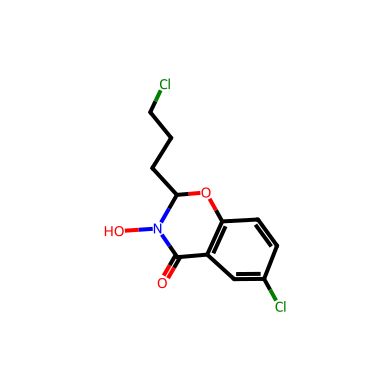 O=C1c2cc(Cl)ccc2OC(CCCCl)N1O